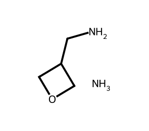 N.NCC1COC1